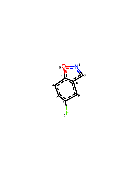 Fc1ccc2oncc2c1